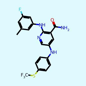 Cc1cc(F)cc(Nc2ncc(Nc3ccc(SC(F)(F)F)cc3)cc2C(N)=O)c1